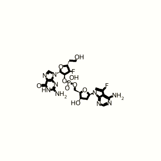 Nc1nc2c(ncn2[C@@H]2O[C@H](CCO)[C@@H](F)[C@H]2OP(=O)(O)OC[C@H]2O[C@@H](n3cc(F)c4c(N)ncnc43)C[C@@H]2O)c(=O)[nH]1